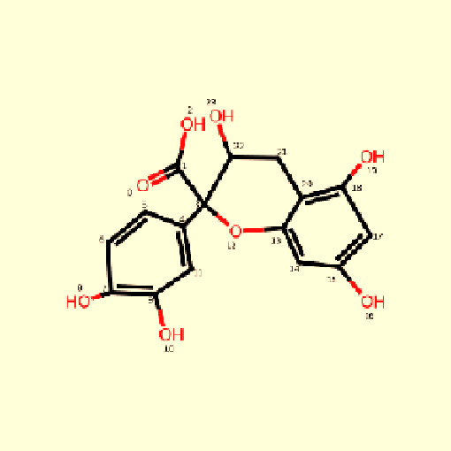 O=C(O)C1(c2ccc(O)c(O)c2)Oc2cc(O)cc(O)c2CC1O